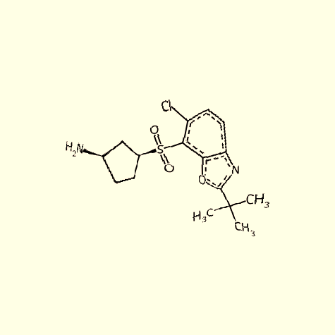 CC(C)(C)c1nc2ccc(Cl)c(S(=O)(=O)[C@H]3CC[C@@H](N)C3)c2o1